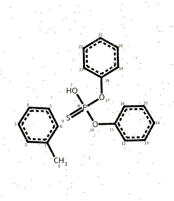 Cc1ccccc1.OP(=S)(Oc1ccccc1)Oc1ccccc1